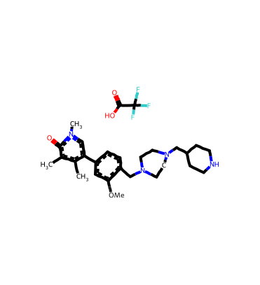 COc1cc(-c2cn(C)c(=O)c(C)c2C)ccc1CN1CCN(CC2CCNCC2)CC1.O=C(O)C(F)(F)F